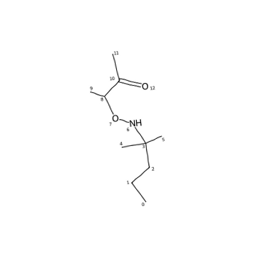 CCCC(C)(C)NOC(C)C(C)=O